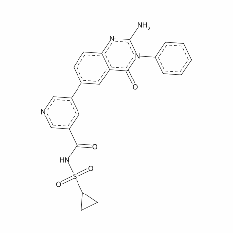 Nc1nc2ccc(-c3cncc(C(=O)NS(=O)(=O)C4CC4)c3)cc2c(=O)n1-c1ccccc1